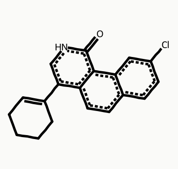 O=c1[nH]cc(C2=CCCCC2)c2ccc3ccc(Cl)cc3c12